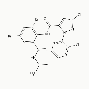 CC(I)NC(=O)c1cc(Br)cc(Br)c1NC(=O)c1cc(Cl)nn1-c1ncccc1Cl